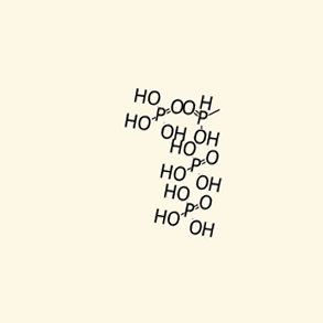 C[PH](=O)O.O=P(O)(O)O.O=P(O)(O)O.O=P(O)(O)O